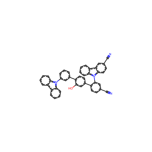 N#Cc1ccc(-c2ccc(-c3cccc(-n4c5ccccc5c5ccccc54)c3)c(O)c2)c(-n2c3ccccc3c3cc(C#N)ccc32)c1